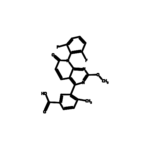 COc1nc(-c2cc(C(=O)O)ccc2C)c2ccc(=O)n(-c3c(F)cccc3F)c2n1